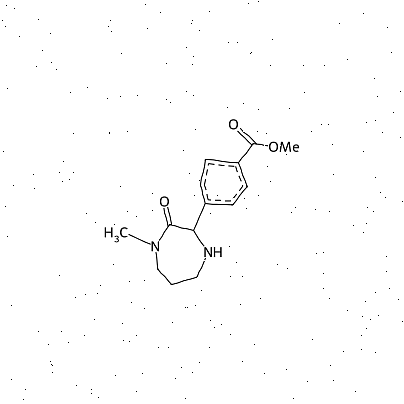 COC(=O)c1ccc(C2NCCCN(C)C2=O)cc1